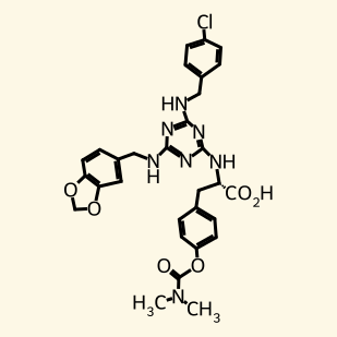 CN(C)C(=O)Oc1ccc(C[C@H](Nc2nc(NCc3ccc(Cl)cc3)nc(NCc3ccc4c(c3)OCO4)n2)C(=O)O)cc1